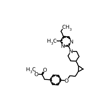 CCc1cnc(N2CCC(C3CC3CCOc3ccc(CC(=O)OC)cc3)CC2)nc1C